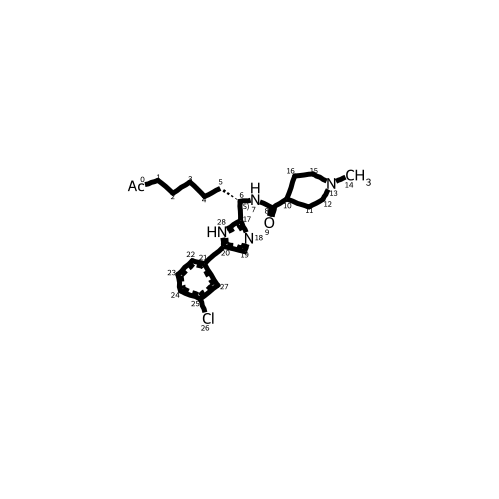 CC(=O)CCCCC[C@H](NC(=O)C1CCN(C)CC1)c1ncc(-c2cccc(Cl)c2)[nH]1